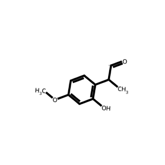 COc1ccc(C(C)[C]=O)c(O)c1